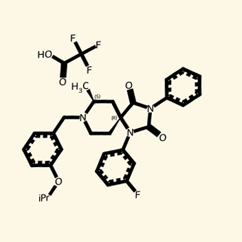 CC(C)Oc1cccc(CN2CC[C@@]3(C[C@@H]2C)C(=O)N(c2ccccc2)C(=O)N3c2cccc(F)c2)c1.O=C(O)C(F)(F)F